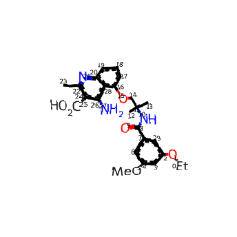 CCOc1cc(OC)cc(C(=O)NC(C)(C)COc2cccc3nc(C)c(C(=O)O)c(N)c23)c1